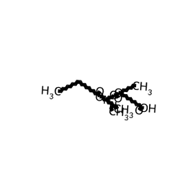 CCCCCCCC/C=C\CCCCCCCC(=O)OCCN(CCOC(=O)OC(CCCCCC)CCCCCCCCC(=O)O)CCN(CC)CC